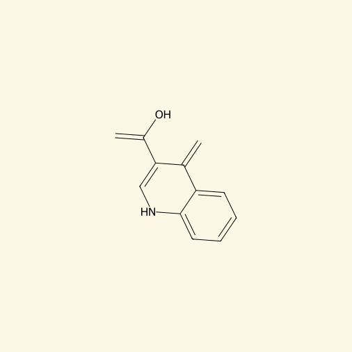 C=C(O)C1=CNc2ccccc2C1=C